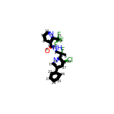 CC(F)(CNC(=O)c1cccnc1C(F)(F)F)c1ncc(-c2ccccc2)cc1Cl